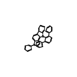 c1ccc(-c2cccc(-c3ccccc3)c2-n2c3ccccc3c3ccc4c(ccn4-c4ccccc4)c32)cc1